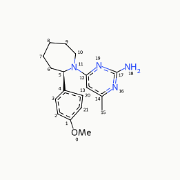 COc1ccc([C@H]2CCCCCN2c2cc(C)nc(N)n2)cc1